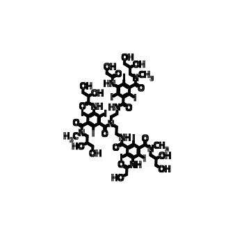 CN(CC(O)CO)C(=O)c1c(I)c(NC(=O)CO)c(I)c(C(=O)NCCN(CCNC(=O)c2c(I)c(NC(=O)CO)c(I)c(C(=O)N(C)CC(O)CO)c2I)C(=O)c2c(I)c(NC(=O)C(O)CO)c(I)c(C(=O)N(C)CC(O)CO)c2I)c1I